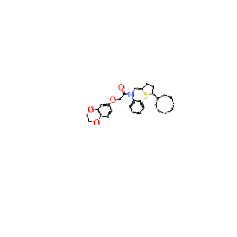 O=C(COc1ccc2c(c1)OCCO2)N(CC1CCC(C2CCCCCCC2)S1)c1ccccc1